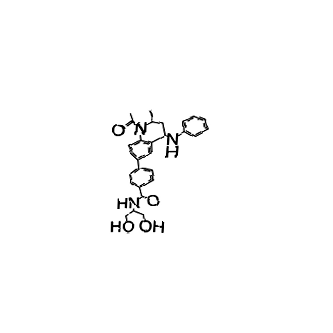 CC(=O)N1c2ccc(-c3ccc(C(=O)NC(CO)CO)cc3)cc2C(Nc2ccccc2)C[C@@H]1C